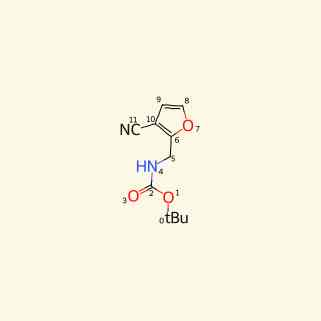 CC(C)(C)OC(=O)NCc1occc1C#N